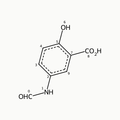 O=CNc1ccc(O)c(C(=O)O)c1